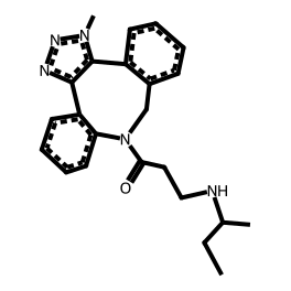 CCC(C)NCCC(=O)N1Cc2ccccc2-c2c(nnn2C)-c2ccccc21